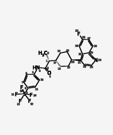 C[C@@H](C(=O)Nc1ccc(S(F)(F)(F)(F)F)cc1)[C@H]1CC[C@H](c2ccnc3ccc(F)cc32)CC1